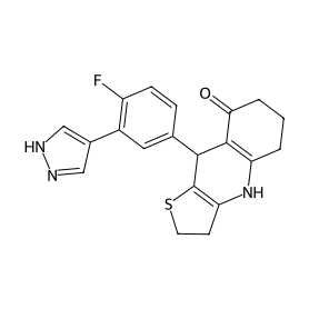 O=C1CCCC2=C1C(c1ccc(F)c(-c3cn[nH]c3)c1)C1=C(CCS1)N2